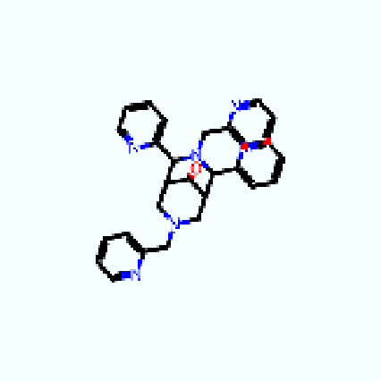 O=C1C2CN(Cc3ccccn3)CC1C(c1ccccn1)N(Cc1ccccn1)C2c1ccccn1